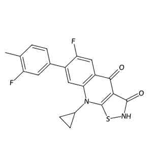 Cc1ccc(-c2cc3c(cc2F)c(=O)c2c(=O)[nH]sc2n3C2CC2)cc1F